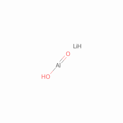 [LiH].[O]=[Al][OH]